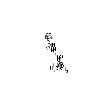 C[C@@H](NC(=O)c1ccn(CCCCn2cc(C(=O)NCc3cccc(OC(F)(F)F)c3)nn2)c(=O)c1)C(N)=O